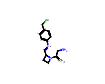 C=C(CN)N1CCC1/C=N/c1ccc(CF)cc1